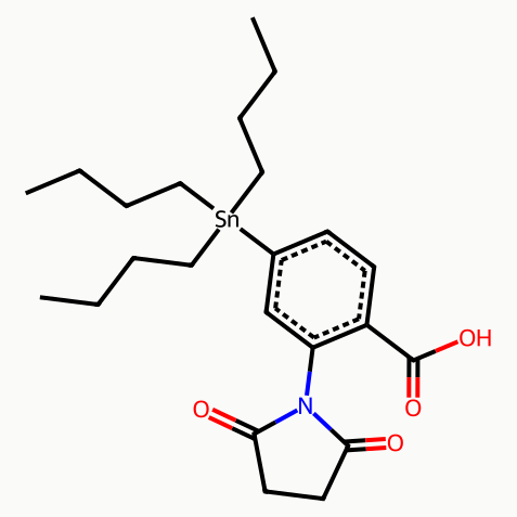 CCC[CH2][Sn]([CH2]CCC)([CH2]CCC)[c]1ccc(C(=O)O)c(N2C(=O)CCC2=O)c1